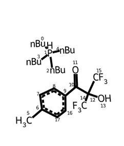 CCCC[PH](CCCC)(CCCC)CCCC.Cc1ccc(C(=O)C(O)(C(F)(F)F)C(F)(F)F)cc1